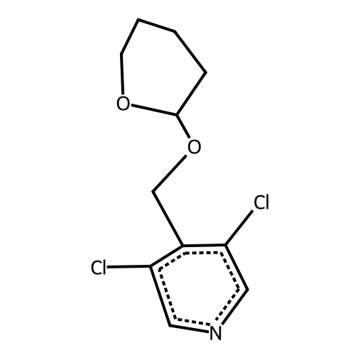 Clc1cncc(Cl)c1COC1CCCCO1